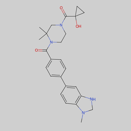 CN1CNc2cc(-c3ccc(C(=O)N4CCN(C(=O)C5(O)CC5)CC4(C)C)cc3)ccc21